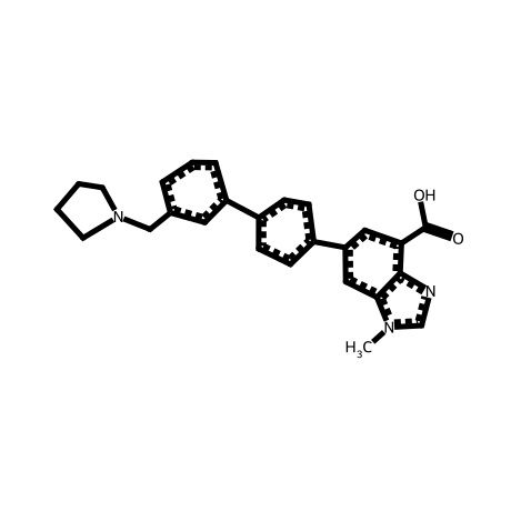 Cn1cnc2c(C(=O)O)cc(-c3ccc(-c4cccc(CN5CCCC5)c4)cc3)cc21